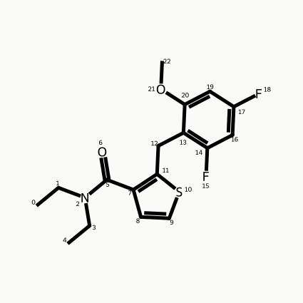 CCN(CC)C(=O)c1ccsc1Cc1c(F)cc(F)cc1OC